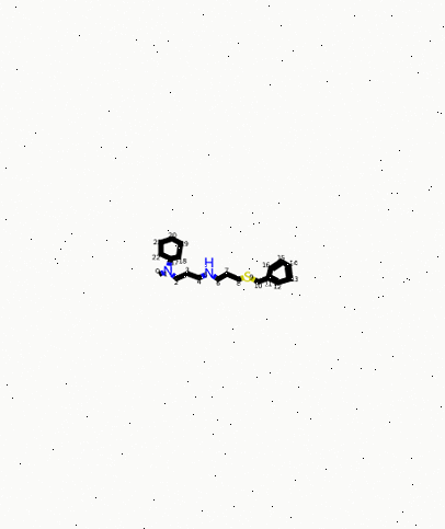 CN(CCCNCCCSCc1ccccc1)C1CCCCC1